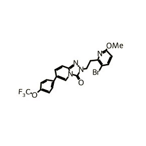 COc1ccc(Br)c(CCn2nc3ccc(-c4ccc(OC(F)(F)F)cc4)cn3c2=O)n1